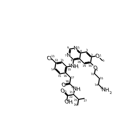 COc1cc2ncnc(Nc3cc(Cl)ccc3CC(=O)N[C@H](C(=O)O)C(C)C)c2cc1OCCCN